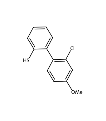 COc1ccc(-c2ccccc2S)c(Cl)c1